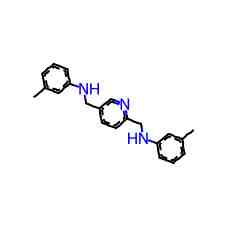 Cc1cccc(NCc2ccc(CNc3cccc(C)c3)nc2)c1